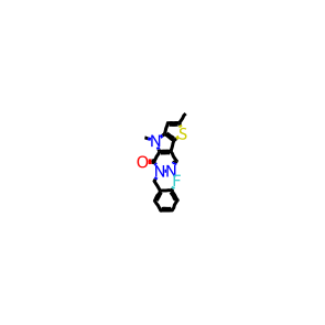 Cc1cc2c(s1)c1cnn(Cc3ccccc3F)c(=O)c1n2C